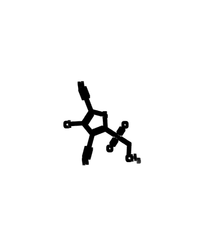 CCS(=O)(=O)c1sc(C#N)c(Cl)c1C#N